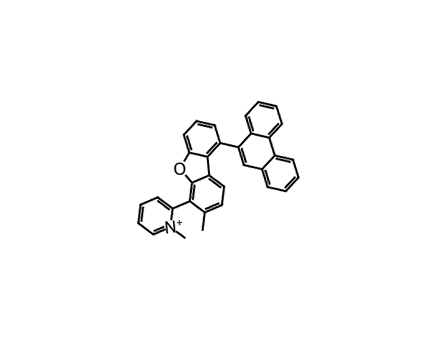 Cc1ccc2c(oc3cccc(-c4cc5ccccc5c5ccccc45)c32)c1-c1cccc[n+]1C